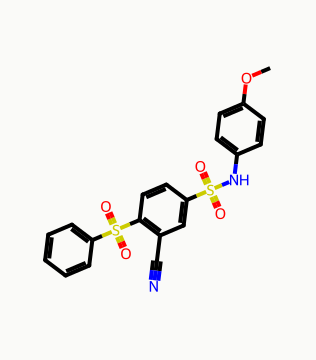 COc1ccc(NS(=O)(=O)c2ccc(S(=O)(=O)c3ccccc3)c(C#N)c2)cc1